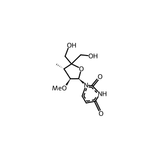 CO[C@@H]1[C@H](n2ccc(=O)[nH]c2=O)OC(CO)(CO)[C@H]1C